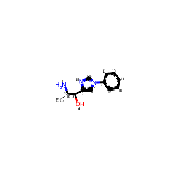 CC[C@H](N)C(O)c1cn(-c2ccccc2)cn1